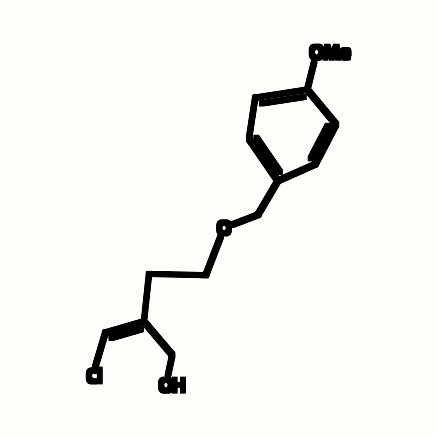 COc1ccc(COCCC(=CCl)CO)cc1